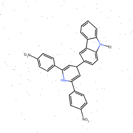 CCn1c2ccccc2c2cc(C3C=C(c4ccc([N+](=O)[O-])cc4)NC(c4ccc([N+](=O)[O-])cc4)=C3)ccc21